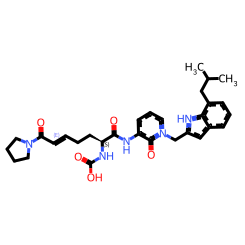 CC(C)Cc1cccc2cc(Cn3cccc(NC(=O)[C@H](CC/C=C/C(=O)N4CCCC4)NC(=O)O)c3=O)[nH]c12